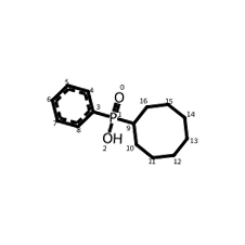 O=P(O)(c1ccccc1)C1CCCCCCC1